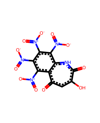 O=c1[nH]c2c([N+](=O)[O-])c([N+](=O)[O-])c([N+](=O)[O-])c([N+](=O)[O-])c2c(=O)cc1O